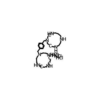 Cl.Cl.Cl.Cl.c1cc(CN2CCCNCCNCCCNCC2)ccc1CN1CCCNCCNCCCNCC1